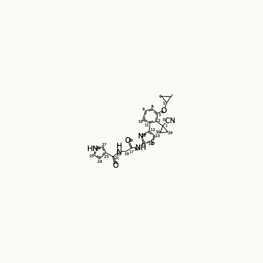 N#CC1(c2c(OC3CC3)cccc2-c2csc(NC(=O)CNC(=O)c3cc[nH]c3)n2)CC1